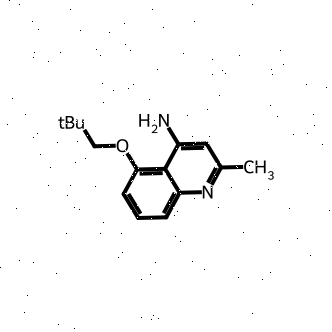 Cc1cc(N)c2c(OCC(C)(C)C)cccc2n1